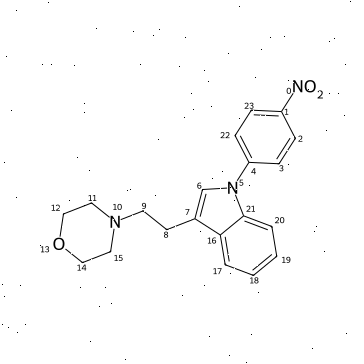 O=[N+]([O-])c1ccc(-n2cc(CCN3CCOCC3)c3ccccc32)cc1